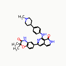 CN1CCC(c2ccc(Nc3nc(-c4ccc5c(c4)NC(=O)C(C)(C)O5)cc4cc[nH]c(=O)c34)cc2)CC1